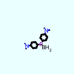 BP(c1ccc(N(C)C)cc1)c1ccc(N(C)C)cc1